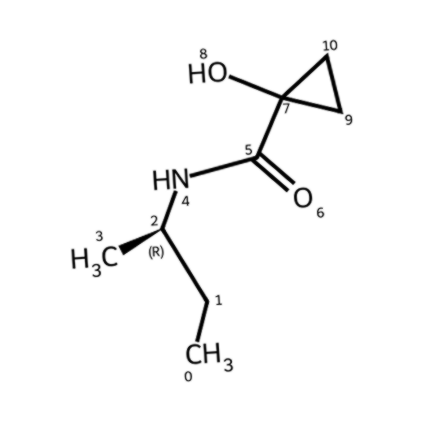 CC[C@@H](C)NC(=O)C1(O)CC1